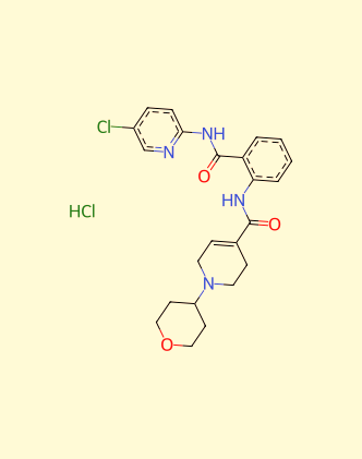 Cl.O=C(Nc1ccccc1C(=O)Nc1ccc(Cl)cn1)C1=CCN(C2CCOCC2)CC1